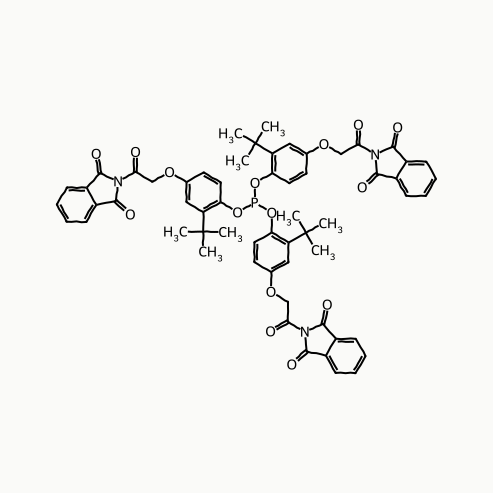 CC(C)(C)c1cc(OCC(=O)N2C(=O)c3ccccc3C2=O)ccc1OP(Oc1ccc(OCC(=O)N2C(=O)c3ccccc3C2=O)cc1C(C)(C)C)Oc1ccc(OCC(=O)N2C(=O)c3ccccc3C2=O)cc1C(C)(C)C